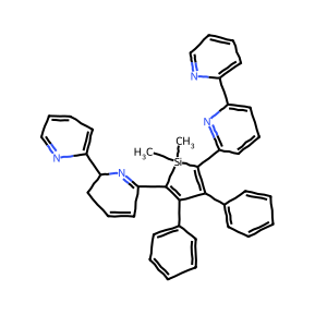 C[Si]1(C)C(C2=NC(c3ccccn3)CC=C2)=C(c2ccccc2)C(c2ccccc2)=C1c1cccc(-c2ccccn2)n1